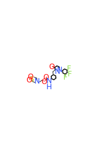 O=C(Nc1cccc(Cc2nn(-c3cc(F)c(F)c(F)c3)ccc2=O)c1)OCCN1CCS(=O)(=O)CC1